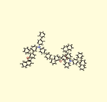 c1ccc(-c2ccc(N(c3ccc(-c4ccc(-c5cccc6c5ccc5c7cccc(-c8ccccc8N(c8ccc(-c9cccc%10ccccc9%10)cc8)c8ccc(-c9c(-c%10ccccc%10)ccc%10ccccc9%10)cc8)c7oc65)cc4)cc3)c3ccc(-c4ccccc4-c4cccc5c4oc4c6ccccc6ccc54)cc3)cc2)cc1